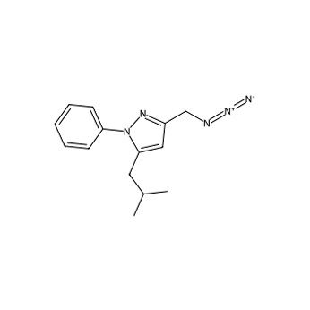 CC(C)Cc1cc(CN=[N+]=[N-])nn1-c1ccccc1